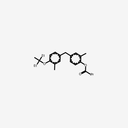 CCC(C)(CC)Oc1ccc(Cc2ccc(OC(=O)C(C)C)c(C)c2)cc1C